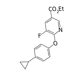 CCOC(=O)c1cnc(Oc2ccc(C3CC3)cc2)c(F)c1